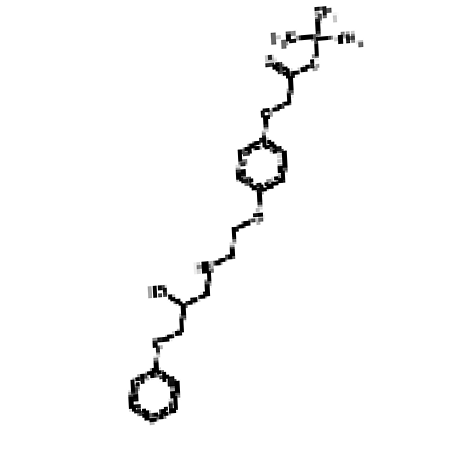 CC(C)(C)OC(=O)COc1ccc(OCCNCC(O)COc2ccccc2)cc1